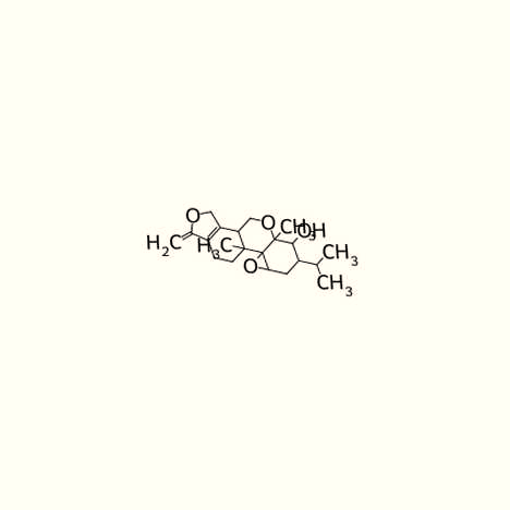 C=C1OCC2=C1CCC1(C)C2COC2(C)C(O)C(C(C)C)CC3OC312